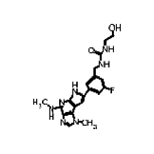 CNc1nc2[nH]c(-c3cc(F)cc(CNC(=O)NCCO)c3)cc2c2c1ncn2C